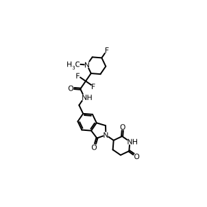 CN1CC(F)CCC1C(F)(F)C(=O)NCc1ccc2c(c1)CN(C1CCC(=O)NC1=O)C2=O